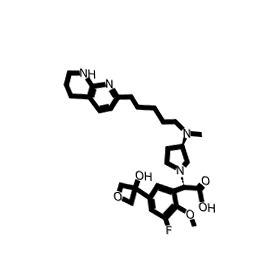 COc1c(F)cc(C2(O)COC2)cc1[C@@H](C(=O)O)N1CC[C@@H](N(C)CCCCCc2ccc3c(n2)NCCC3)C1